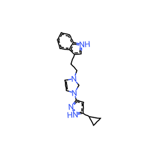 C1=CN(c2cc(C3CC3)[nH]n2)CN1CCc1c[nH]c2ccccc12